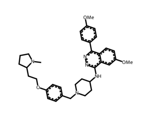 COc1ccc(-c2nnc(NC3CCN(Cc4ccc(OCCC5CCCN5C)cc4)CC3)c3cc(OC)ccc23)cc1